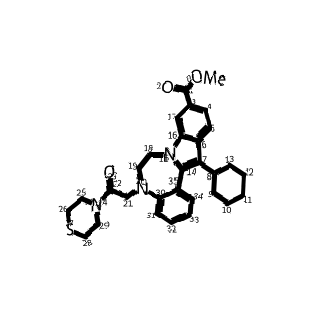 COC(=O)c1ccc2c(C3CCCCC3)c3n(c2c1)CCN(CC(=O)N1CCSCC1)c1ccccc1-3